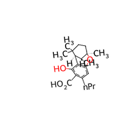 CCCc1cc2c(c(O)c1C(=O)O)[C@@H]1[C@@H](C)[C@@](C)(CCC1(C)C)O2